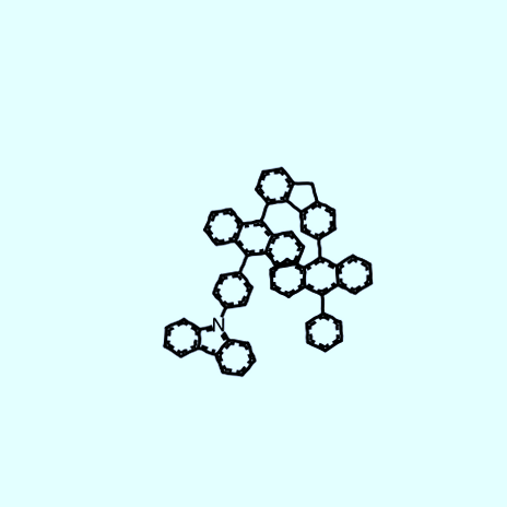 c1ccc(-c2c3ccccc3c(-c3ccc4c(c3)-c3c(cccc3-c3c5ccccc5c(-c5ccc(-n6c7ccccc7c7ccccc76)cc5)c5ccccc35)C4)c3ccccc23)cc1